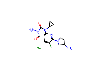 Cl.NC1CCN(c2nc3c(cc2F)c(=O)n(N)c(=O)n3C2CC2)C1